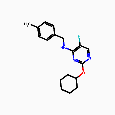 Cc1ccc(CNc2nc(OC3CCCCC3)ncc2F)cc1